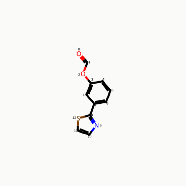 O=COc1cccc(-c2nccs2)c1